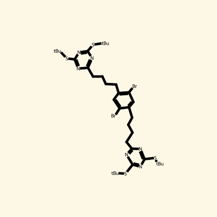 CC(C)(C)Sc1nc(CCCCc2cc(Br)c(CCCCc3nc(SC(C)(C)C)nc(SC(C)(C)C)n3)cc2Br)nc(SC(C)(C)C)n1